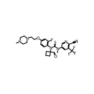 CN1CCN(CCOc2ccc(N(C(=S)N(C)c3cnc(C#N)c(C(F)(F)F)c3)C3(C=O)CCC3)c(F)c2)CC1